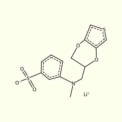 CN(CC1COc2cscc2O1)c1cccc(S(=O)(=O)[O-])c1.[Li+]